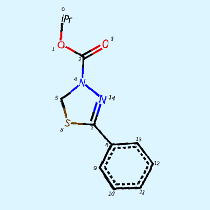 CC(C)OC(=O)N1[CH]SC(c2ccccc2)=N1